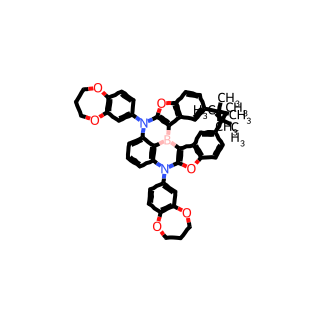 CC(C)(C)c1ccc2oc3c(c2c1)B1c2c(cccc2N(c2ccc4c(c2)OCCCO4)c2oc4ccc(C(C)(C)C)cc4c21)N3c1ccc2c(c1)OCCCO2